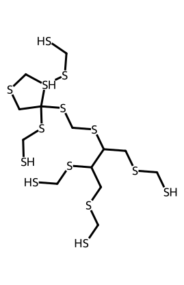 SCSCC(SCS)C(CSCS)SCSC1(SCS)CSC[SH]1SCS